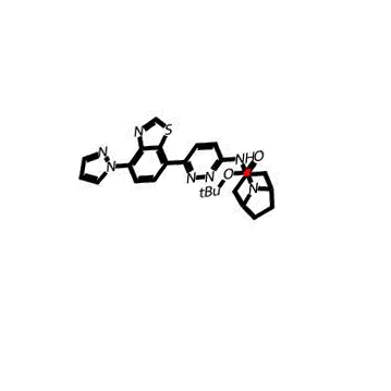 CC(C)(C)OC(=O)N1C2CCC1CC(Nc1ccc(-c3ccc(-n4cccn4)c4ncsc34)nn1)C2